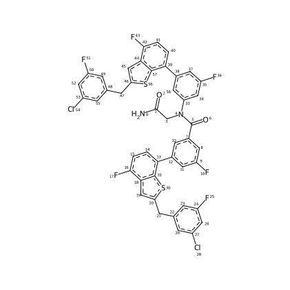 NC(=O)CN(C(=O)c1cc(F)cc(-c2ccc(F)c3cc(Cc4cc(F)cc(Cl)c4)sc23)c1)c1cc(F)cc(-c2ccc(F)c3cc(Cc4cc(F)cc(Cl)c4)sc23)c1